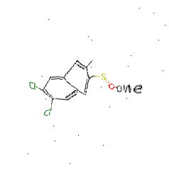 COOSc1cc2cc(Cl)c(Cl)cc2cc1C